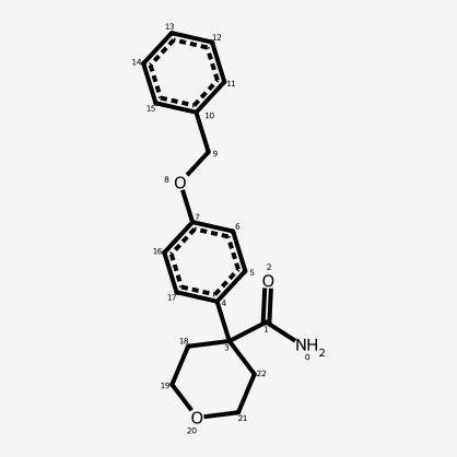 NC(=O)C1(c2ccc(OCc3ccccc3)cc2)CCOCC1